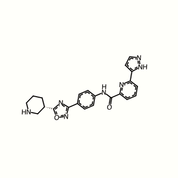 O=C(Nc1ccc(-c2noc([C@H]3CCCNC3)n2)cc1)c1cccc(-c2ccn[nH]2)n1